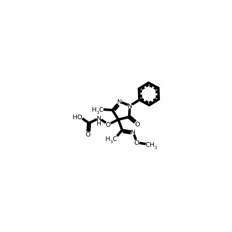 CON=C(C)C1(ONC(=O)O)C(=O)N(c2ccccc2)N=C1C